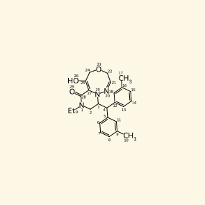 CCN1CC(C(c2cccc(C)c2)c2cccc(C)c2)N2/N=C\COC/C(O)=C\2C1=O